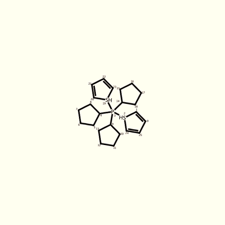 C1=C[SH](P(C2CCCC2)(C2CCCC2)(C2CCCC2)[SH]2C=CC=C2)C=C1